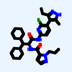 CCCn1nccc1C(=O)N[C@H](C(=O)Nc1ccc(-c2c(CC)n[nH]c2C)c(F)n1)C(C1CCCCC1)C1CCCCC1